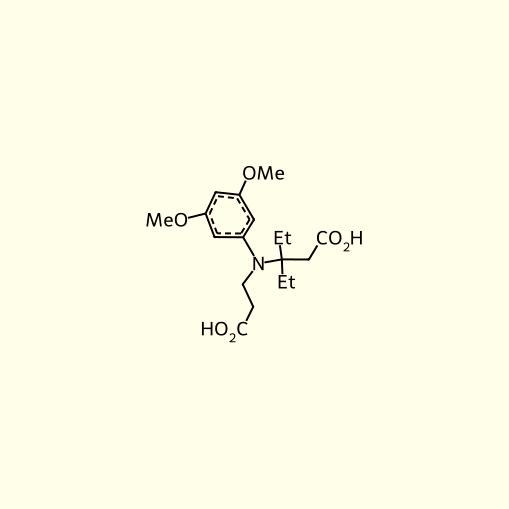 CCC(CC)(CC(=O)O)N(CCC(=O)O)c1cc(OC)cc(OC)c1